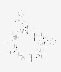 CC1NC(=O)C(C)(C)NC(=O)C(C)NC(=O)C(C)(C)NC(Cc2ccc3ccccc3c2)NC(=O)C(C)(C)NC(=O)C(Cc2ccc(C(=O)c3ccccc3)cc2)NC(=O)C(C)(C)NC1=O